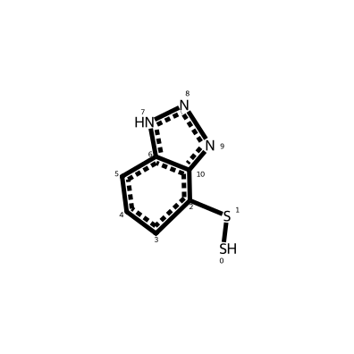 SSc1cccc2[nH]nnc12